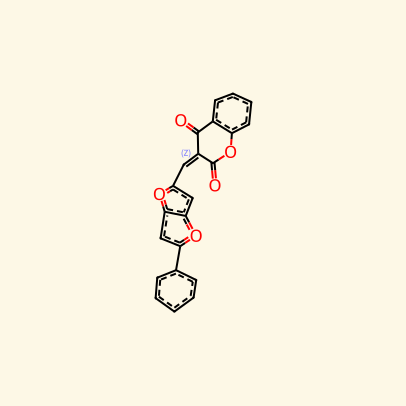 O=C1Oc2ccccc2C(=O)/C1=C/c1cc2oc(-c3ccccc3)cc2o1